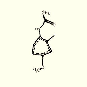 COc1ccc(NC(=O)O)c(I)c1